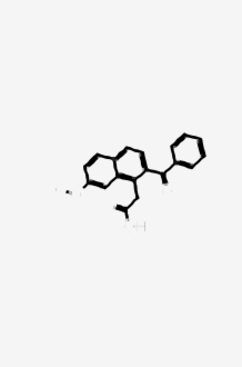 COc1ccc2ccc(C(=O)c3ccccc3)c(CC(=O)O)c2c1